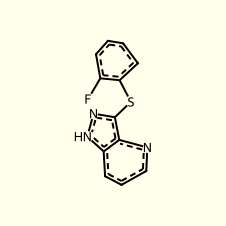 Fc1ccccc1Sc1n[nH]c2cccnc12